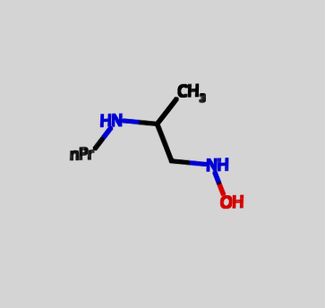 CCCNC(C)CNO